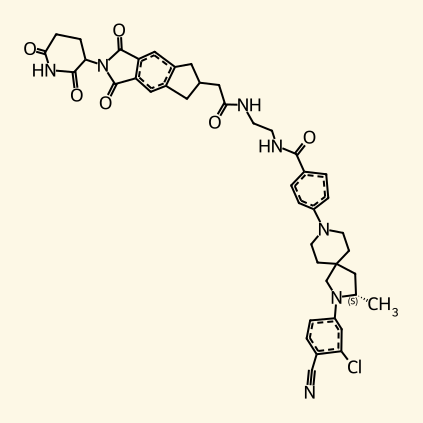 C[C@H]1CC2(CCN(c3ccc(C(=O)NCCNC(=O)CC4Cc5cc6c(cc5C4)C(=O)N(C4CCC(=O)NC4=O)C6=O)cc3)CC2)CN1c1ccc(C#N)c(Cl)c1